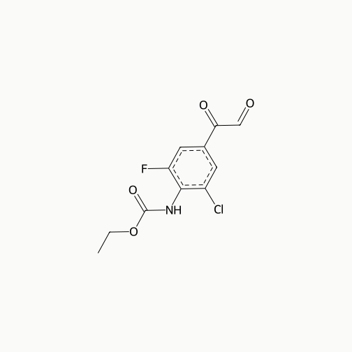 CCOC(=O)Nc1c(F)cc(C(=O)C=O)cc1Cl